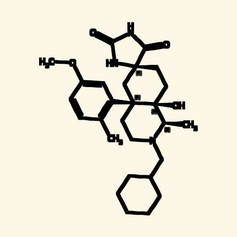 COc1ccc(C)c([C@]23CCN(CC4CCCCC4)[C@H](C)[C@]2(O)CC[C@@]2(C3)NC(=O)NC2=O)c1